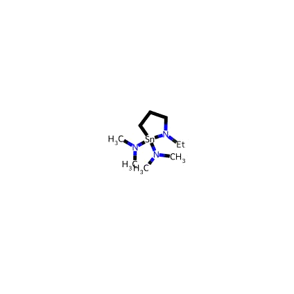 CC[N]1CC[CH2][Sn]1([N](C)C)[N](C)C